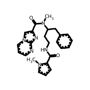 CN(C(=O)c1cn2cccnc2n1)C(CCNC(=O)c1cccn1C)Cc1ccccc1